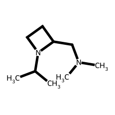 CC(C)N1CCC1CN(C)C